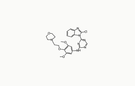 COc1cc(Nc2ncnc(-n3c(Cl)nc4ccccc43)n2)cc(OC)c1OCCN1CCOCC1